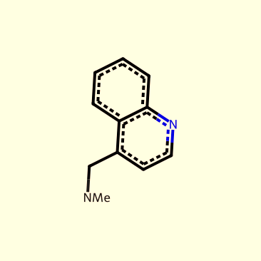 CNCc1ccnc2ccccc12